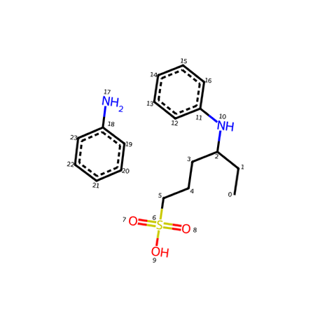 CCC(CCCS(=O)(=O)O)Nc1ccccc1.Nc1ccccc1